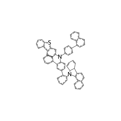 C1=CC2c3ccc4ccccc4c3N(c3ccccc3-c3ccc(N(c4ccc(-c5cccc6ccccc56)cc4)c4ccc5c(c4)sc4ccccc45)c(-c4ccccc4)c3)C2C=C1